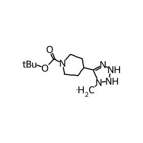 [CH2]N1NNN=C1C1CCN(C(=O)OC(C)(C)C)CC1